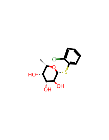 C[C@@H]1O[C@H](Sc2ccccc2Cl)[C@@H](O)[C@H](O)[C@@H]1O